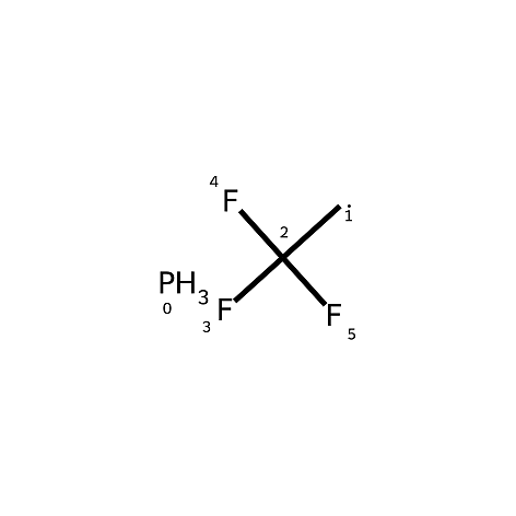 P.[CH2]C(F)(F)F